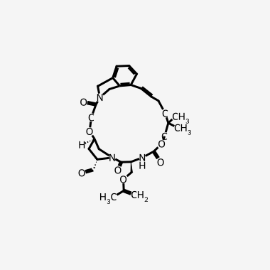 C=C(C)OC[C@@H]1NC(=O)OCC(C)(C)CC/C=C/c2cccc3c2CN(C3)C(=O)CO[C@@H]2C[C@@H](C=O)N(C2)C1=O